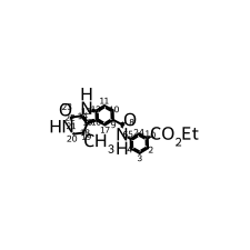 CCOC(=O)c1cccc(NC(=O)c2ccc3[nH]c4c(c3c2)C(C)CNC4=O)c1